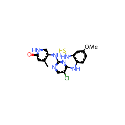 COc1ccc(Nc2nc(Nc3c[nH]c(=O)cc3C)ncc2Cl)c(NS)c1